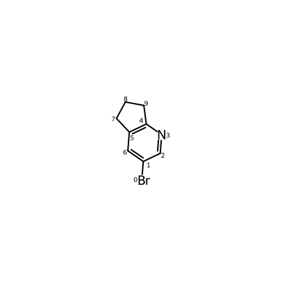 Brc1cnc2c(c1)CCC2